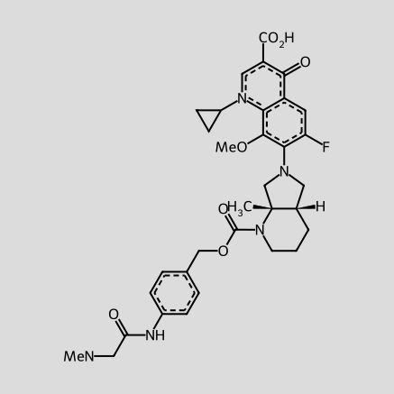 CNCC(=O)Nc1ccc(COC(=O)N2CCC[C@H]3CN(c4c(F)cc5c(=O)c(C(=O)O)cn(C6CC6)c5c4OC)C[C@]32C)cc1